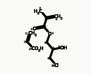 C=C(C)C(=O)OCC(O)CCl.C=CC(=O)O